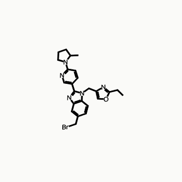 CCc1nc(Cn2c(-c3ccc(N4CCCC4C)nc3)nc3cc(CBr)ccc32)co1